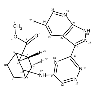 COC(=O)[C@H]1C2CCC(CC2)[C@@H]1Nc1cnnc(-c2n[nH]c3ncc(F)cc23)n1